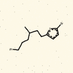 CC(C)CCCC(C)CCc1ccc(Br)s1